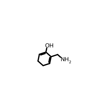 NCC1=CCCC=C1O